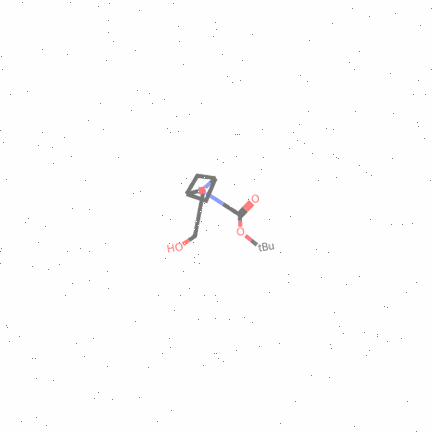 CC(C)(C)OC(=O)N1C2CC(C2)C1CO